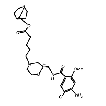 COc1cc(N)c(Cl)cc1C(=O)NC[C@@H]1CN(CCCCC(=O)OC2CN3CCC2CC3)CCO1